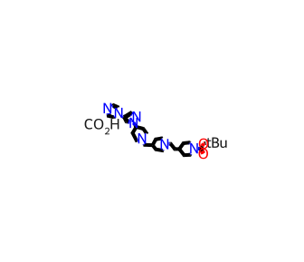 CC(C)(C)OC(=O)N1CCC(CCN2CCC(CN3CCC(n4cc(N5C=CN=CC5C(=O)O)cn4)CC3)CC2)CC1